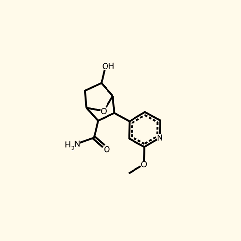 COc1cc(C2C3OC(CC3O)C2C(N)=O)ccn1